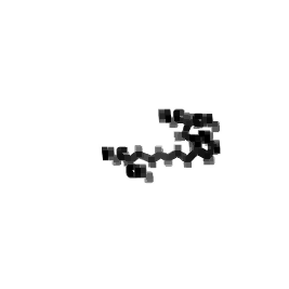 CC(C)CCCCCCc1cnnn1CC(C)C